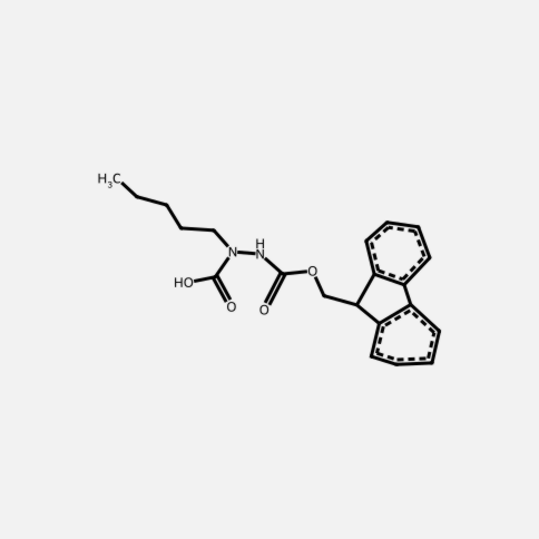 CCCCCN(NC(=O)OCC1c2ccccc2-c2ccccc21)C(=O)O